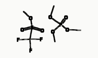 COP(=O)(OC)OC.COS(=O)(=O)C(F)(F)F